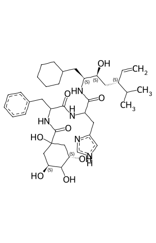 C=C[C@@H](C[C@H](O)[C@H](CC1CCCCC1)NC(=O)C(Cc1c[nH]cn1)NC(=O)C(Cc1ccccc1)NC(=O)C1(O)C[C@H](O)C(O)[C@@H](O)C1)C(C)C